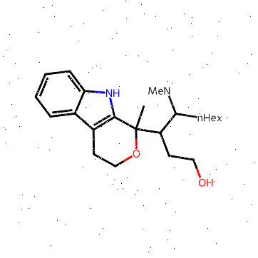 CCCCCCC(NC)C(CCO)C1(C)OCCc2c1[nH]c1ccccc21